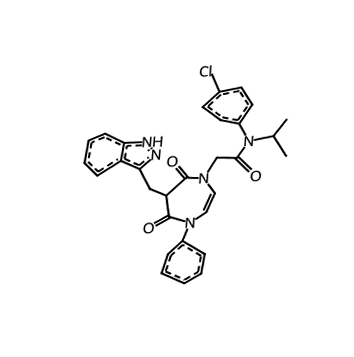 CC(C)N(C(=O)CN1C=CN(c2ccccc2)C(=O)C(Cc2n[nH]c3ccccc23)C1=O)c1ccc(Cl)cc1